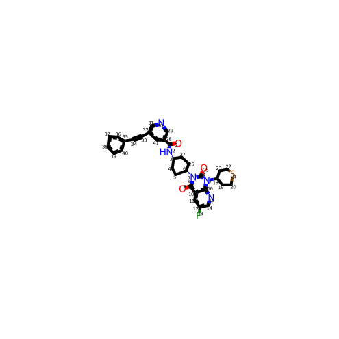 O=C(N[C@H]1CC[C@@H](n2c(=O)c3cc(F)cnc3n(C3CCSCC3)c2=O)CC1)c1cncc(C#Cc2ccccc2)c1